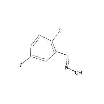 O/N=C/c1cc(F)ccc1Cl